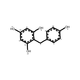 Oc1ccc(Cc2c(O)cc(O)cc2O)cc1